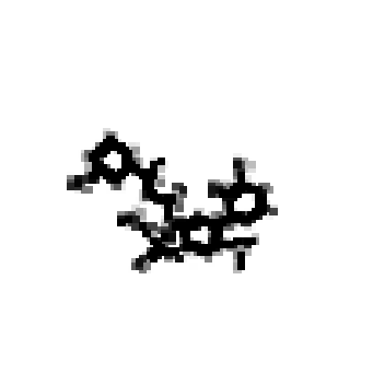 CN(C)c1cc(NC(=O)OC(C)(C)C)c(NC(=O)CC(=O)c2cccc(C#N)c2)cc1-c1cccc(F)c1F